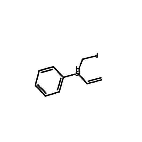 C=C[SiH](CI)c1ccccc1